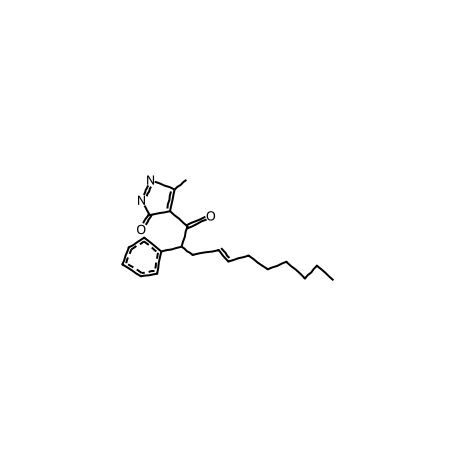 CCCCCCC=CCC(C(=O)C1=C(C)N=NC1=O)c1ccccc1